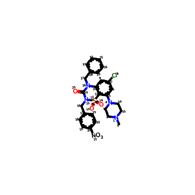 CN1CCN(c2cc(Cl)cc3c2S(=O)(=O)N(Cc2ccc([N+](=O)[O-])cc2)C(=O)N3Cc2ccccc2)CC1